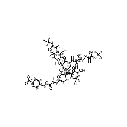 CN(C(=O)OC(C)(C)C)[C@@H]1[C@@H](O)[C@@H](O[C@@H]2[C@@H](O)[C@H](O[C@H]3OC(CNC(=O)OCc4ccc([N+](=O)[O-])cc4)=CC[C@H]3NCC(O)CO)[C@@H](NC(=O)OC(C)(C)C)C[C@H]2NC(=O)[C@@H](O)CCNC(=O)OC(C)(C)C)OC[C@]1(C)O